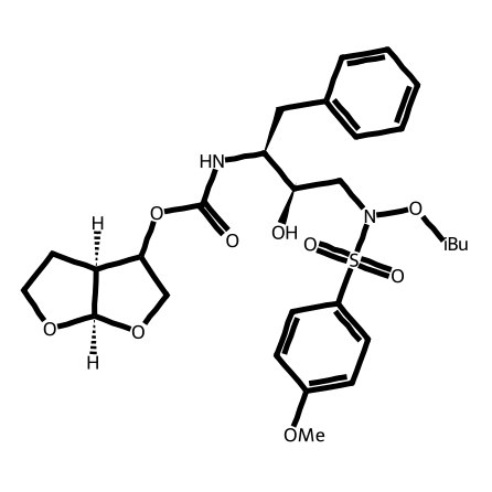 CCC(C)ON(C[C@@H](O)[C@H](Cc1ccccc1)NC(=O)OC1CO[C@H]2OCC[C@@H]12)S(=O)(=O)c1ccc(OC)cc1